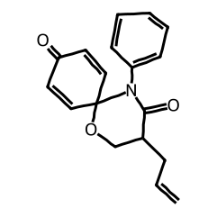 C=CCC1COC2(C=CC(=O)C=C2)N(c2ccccc2)C1=O